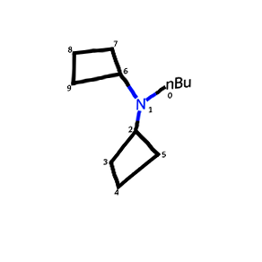 [CH2]CCCN(C1CCC1)C1CCC1